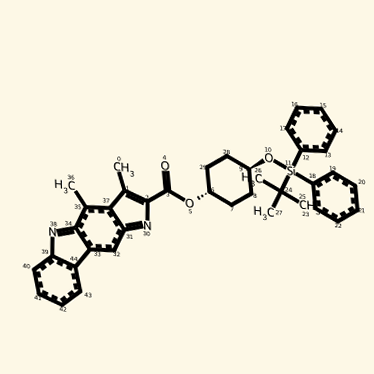 CC1=C(C(=O)O[C@H]2CC[C@H](O[Si](c3ccccc3)(c3ccccc3)C(C)(C)C)CC2)N=c2cc3c(c(C)c21)=Nc1ccccc1-3